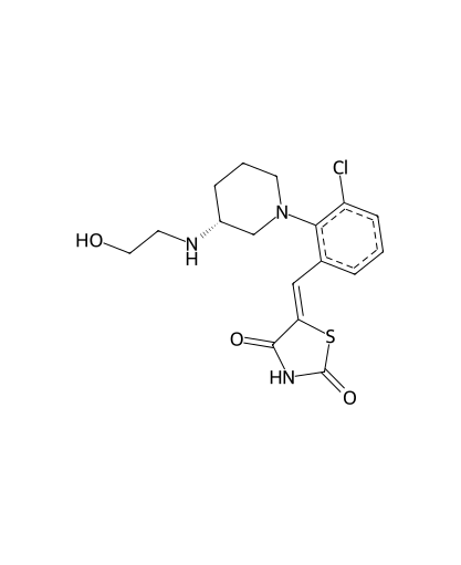 O=C1NC(=O)/C(=C/c2cccc(Cl)c2N2CCC[C@@H](NCCO)C2)S1